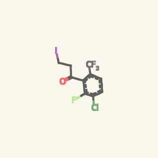 O=C(CCI)c1c(C(F)(F)F)ccc(Cl)c1F